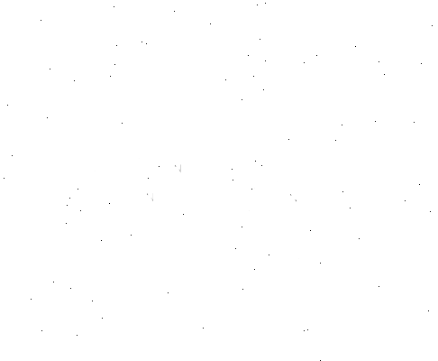 c1ccc(-c2nc(-c3cccc(-c4c5ccc6ccccc6c5nc5c4ccc4ccccc45)c3)nc3ccccc23)cc1